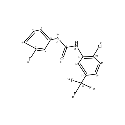 O=C(Nc1cccc(F)c1)Nc1cc(C(F)(F)F)ccc1Cl